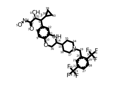 C[C@H](C(=O)N=O)C(c1ccc2c(c1)NC(C1CCN(Cc3cc(C(F)(F)F)ccc3C(F)(F)F)CC1)CO2)C1CC1